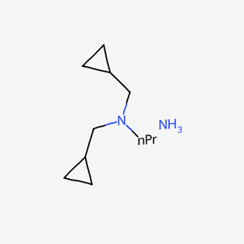 CCCN(CC1CC1)CC1CC1.N